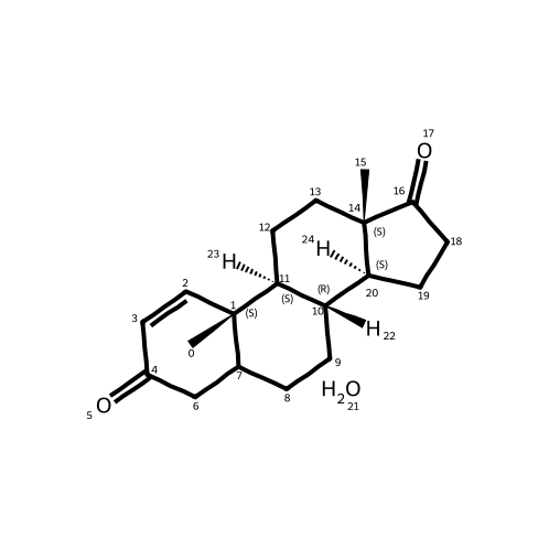 C[C@]12C=CC(=O)CC1CC[C@@H]1[C@@H]2CC[C@]2(C)C(=O)CC[C@@H]12.O